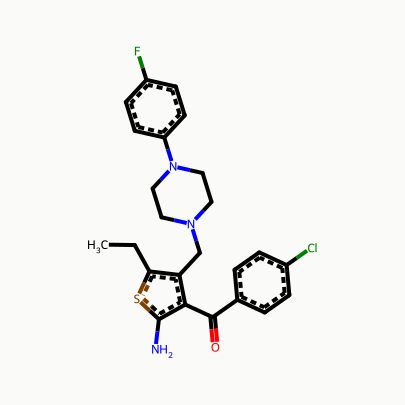 CCc1sc(N)c(C(=O)c2ccc(Cl)cc2)c1CN1CCN(c2ccc(F)cc2)CC1